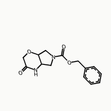 O=C1COC2CN(C(=O)OCc3ccccc3)CC2N1